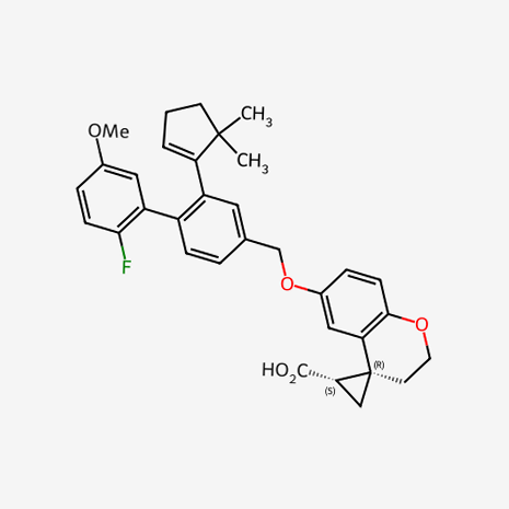 COc1ccc(F)c(-c2ccc(COc3ccc4c(c3)[C@@]3(CCO4)C[C@@H]3C(=O)O)cc2C2=CCCC2(C)C)c1